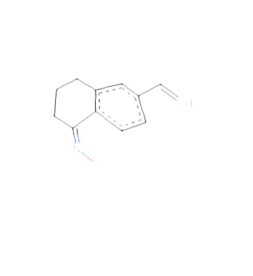 C=Cc1ccc2c(c1)CCC/C2=N/O